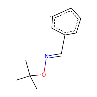 CC(C)(C)ON=Cc1c[c]ccc1